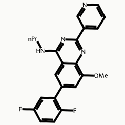 CCCNc1nc(-c2cccnc2)nc2c(OC)cc(-c3cc(F)ccc3F)cc12